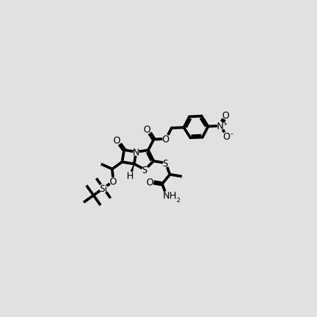 CC(SC1=C(C(=O)OCc2ccc([N+](=O)[O-])cc2)N2C(=O)C(C(C)O[Si](C)(C)C(C)(C)C)[C@H]2S1)C(N)=O